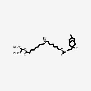 CCCCCCCCC(CCCCCCCC)OC(=O)CCCCCCCN(CC)CCCCCCOC(=O)OCCC1(CC)CC2CC(C)CC(C2)C1